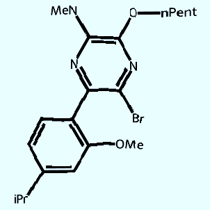 CCCCCOc1nc(Br)c(-c2ccc(C(C)C)cc2OC)nc1NC